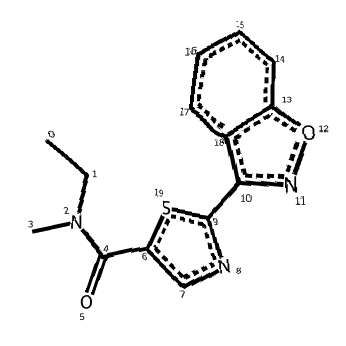 CCN(C)C(=O)c1cnc(-c2noc3ccccc23)s1